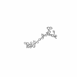 C=CC(=O)N1CCN(c2nc(OC[C@@H]3C[C@@H](OCCOCCOCCNc4cccc5c4C(=O)N(C4CCC(=O)NC4=O)C5=O)CN3C)nc3c2CCN(c2cccc4ccccc24)C3)CC1CC#N